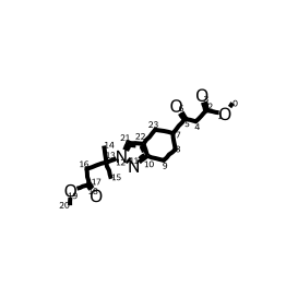 COC(=O)CC(=O)C1CCc2nn(C(C)(C)CC(=O)OC)cc2C1